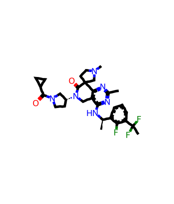 Cc1nc(N[C@H](C)c2cccc(C(C)(F)F)c2F)c2c(n1)C1(CCN(C)C1)C(=O)N([C@@H]1CCN(C(=O)C3CC3)C1)C2